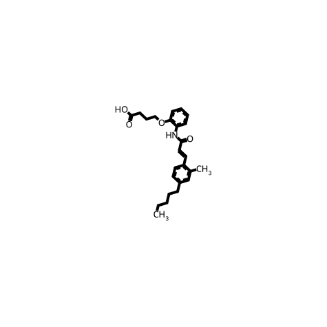 CCCCCc1ccc(C=CC(=O)Nc2ccccc2OCCCC(=O)O)c(C)c1